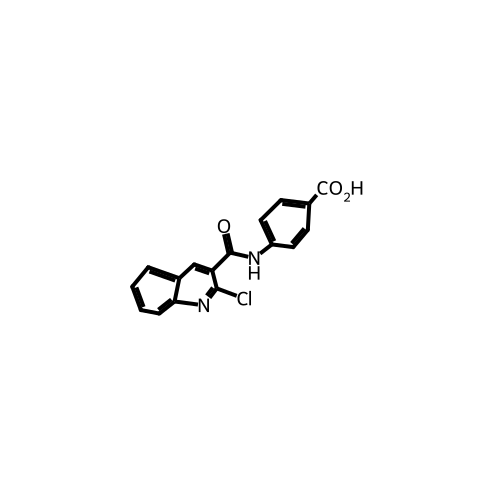 O=C(O)c1ccc(NC(=O)c2cc3ccccc3nc2Cl)cc1